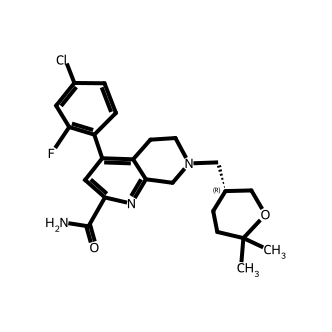 CC1(C)CC[C@H](CN2CCc3c(-c4ccc(Cl)cc4F)cc(C(N)=O)nc3C2)CO1